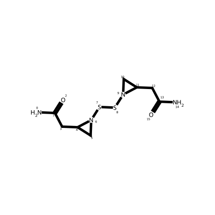 NC(=O)CC1CN1SSN1CC1CC(N)=O